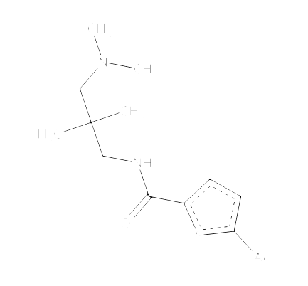 CC(=O)c1ccc(C(=O)NCC(C)(C)CN(C)C)s1